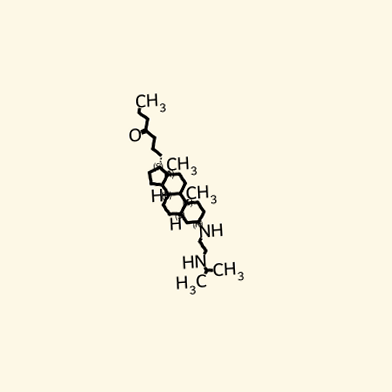 CCCC(=O)CCC[C@H]1CCC2[C@H]3CC[C@H]4C[C@H](NCCNC(C)C)CC[C@]4(C)C3CC[C@@]21C